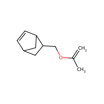 C=C(C)OCC1CC2C=CC1C2